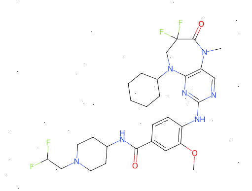 COc1cc(C(=O)NC2CCN(CC(F)F)CC2)ccc1Nc1ncc2c(n1)N(C1CCCCC1)CC(F)(F)C(=O)N2C